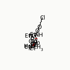 CCN(CC)c1ccc2c(c1)Oc1cc(N(CC)CC)ccc1C21c2cc(C(=O)NCCOCCOCCCCCCCl)ccc2C(=O)N1S(=O)(=O)N(C)C